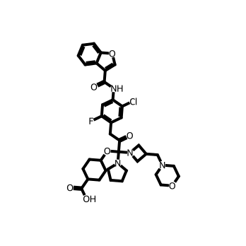 O=C(Nc1cc(F)c(CC(=O)C(OC2CCC(C(=O)O)CC2)(N2CCCC2)N2CC(CN3CCOCC3)C2)cc1Cl)c1coc2ccccc12